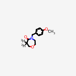 [2H]C1([2H])COCCN(Cc2ccc(OC)cc2)C1=O